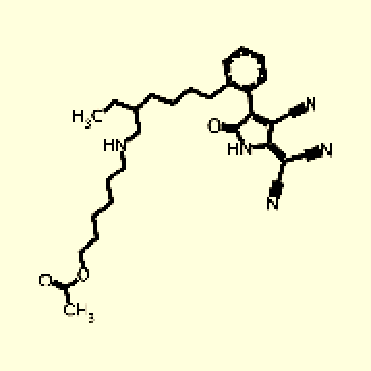 CCC(CCCCc1ccccc1C1=C(C#N)C(=C(C#N)C#N)NC1=O)CNCCCCCCOC(C)=O